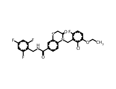 CCOc1ccc(F)c(CN2C(=O)CSc3cc(C(=O)NCc4c(F)cc(F)cc4F)ccc32)c1Cl